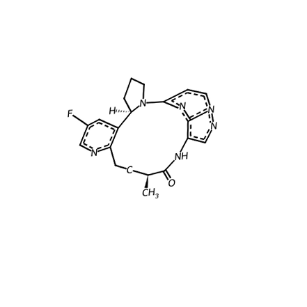 C[C@H]1CCc2ncc(F)cc2[C@H]2CCCN2c2ccn3ncc(c3n2)NC1=O